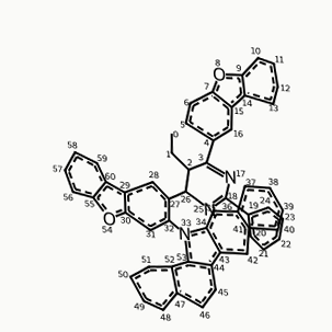 CCC1C(c2ccc3oc4ccccc4c3c2)=NC(c2ccccc2)=NC1c1cc2c(cc1-n1c3cc4ccccc4cc3c3ccc4ccccc4c31)oc1ccccc12